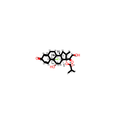 CC(C)C(=O)O[C@@]1(C(=O)CO)C(C)C[C@H]2[C@@H]3CCC4=CC(=O)C=C[C@]4(C)[C@@]3(F)[C@@H](O)C[C@@]21C